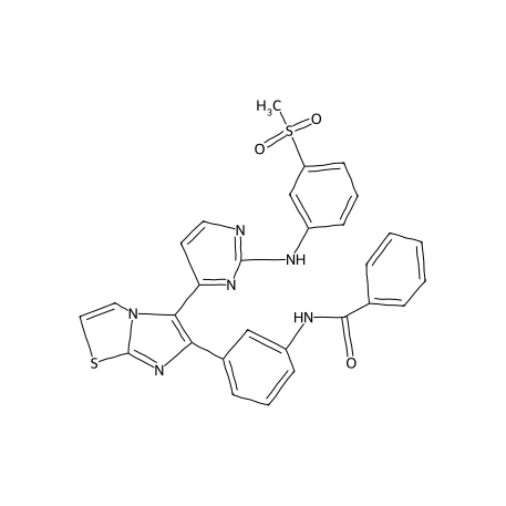 CS(=O)(=O)c1cccc(Nc2nccc(-c3c(-c4cccc(NC(=O)c5ccccc5)c4)nc4sccn34)n2)c1